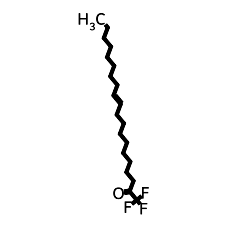 CCCCCCCCC=CCCCCCCCCC(=O)C(F)(F)F